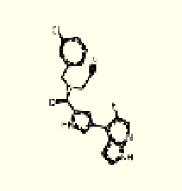 N#CCN(Cc1cccc(Cl)c1)C(=O)c1cc(-c2c(F)cnc3[nH]ccc23)c[nH]1